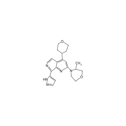 CC1COCCN1c1cc(C2CCOCC2)c2ccnc(-c3ccn[nH]3)c2n1